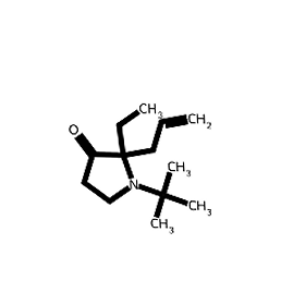 C=CCC1(CC)C(=O)CCN1C(C)(C)C